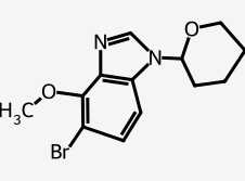 COc1c(Br)ccc2c1ncn2C1CCCCO1